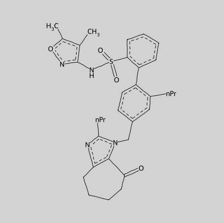 CCCc1cc(Cn2c(CCC)nc3c2C(=O)CCCC3)ccc1-c1ccccc1S(=O)(=O)Nc1noc(C)c1C